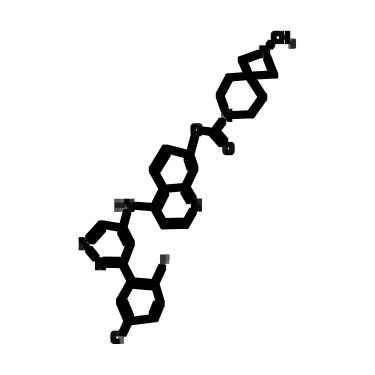 CN1CC2(CCN(C(=O)Oc3ccc4c(Nc5cnnc(-c6cc(Cl)ccc6F)c5)ccnc4c3)CC2)C1